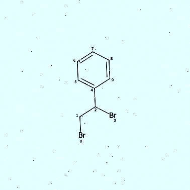 Br[CH]C(Br)c1c[c]ccc1